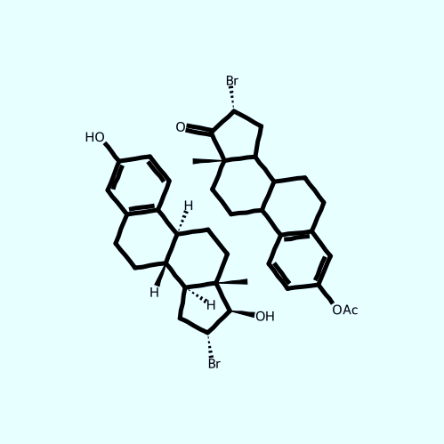 CC(=O)Oc1ccc2c(c1)CCC1C2CC[C@]2(C)C(=O)[C@H](Br)CC12.C[C@]12CC[C@@H]3c4ccc(O)cc4CC[C@H]3[C@@H]1C[C@@H](Br)[C@@H]2O